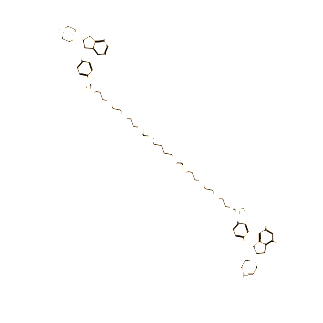 CN1CCN([C@H]2Cc3c(Cl)cc(Cl)cc3[C@@H]2Oc2ccc(S(=O)(=O)NCCOCCOCCNC(=O)NCCCCNC(=O)NCCOCCOCCNS(=O)(=O)c3ccc(O[C@H]4c5cc(Cl)cc(Cl)c5C[C@@H]4N4CCN(C)CC4)cc3)cc2)CC1